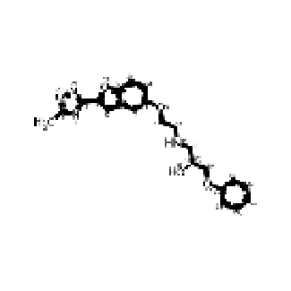 Cc1nc(-c2cc3cc(OCCNC[C@H](O)COc4ccccc4)ccc3o2)no1